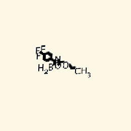 Bc1oc(COCCCC)nc1-c1ccc(C(F)(F)F)cc1